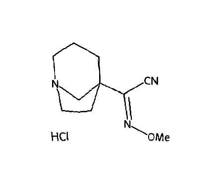 CON=C(C#N)C12CCCN(CC1)C2.Cl